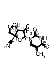 Cc1cn([C@@H]2O[C@](C#N)(CO)[C@@H](O)C2C)c(=O)[nH]c1=O